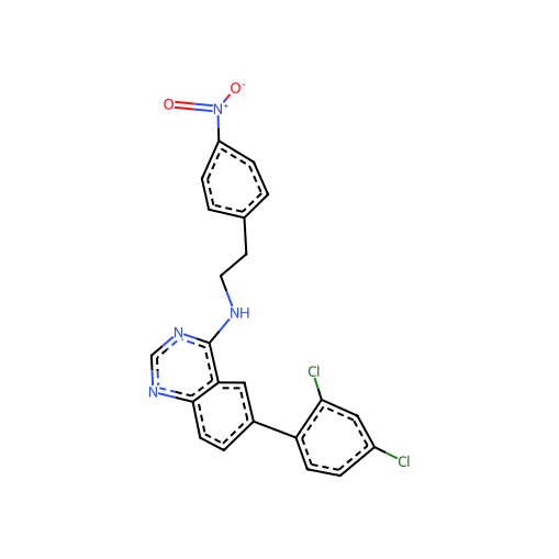 O=[N+]([O-])c1ccc(CCNc2ncnc3ccc(-c4ccc(Cl)cc4Cl)cc23)cc1